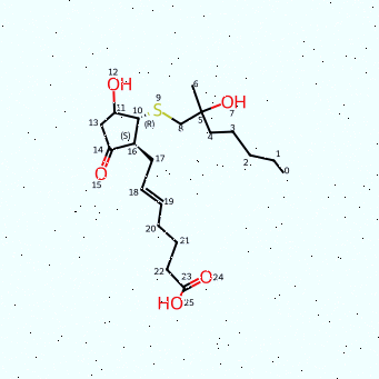 CCCCCC(C)(O)CS[C@H]1C(O)CC(=O)[C@@H]1CC=CCCCC(=O)O